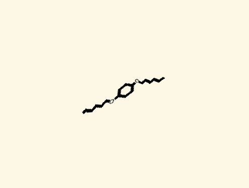 CC=CC=CCOC1CCC(OCC=CC=CC)CC1